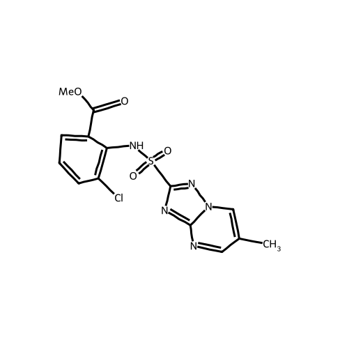 COC(=O)c1cccc(Cl)c1NS(=O)(=O)c1nc2ncc(C)cn2n1